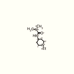 CCN1CCC(NC(=O)N(C)C)CC1